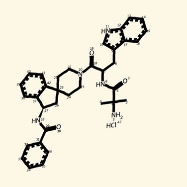 CC(C)(N)C(=O)NC(Cc1c[nH]c2ccccc12)C(=O)N1CCC2(CC1)C[C@@H](NC(=O)c1ccccc1)c1ccccc12.Cl